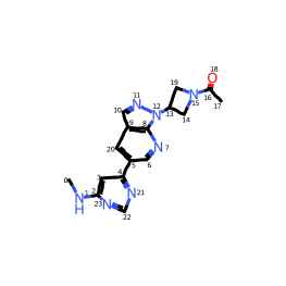 CNc1cc(-c2cnc3c(cnn3C3CN(C(C)=O)C3)c2)ncn1